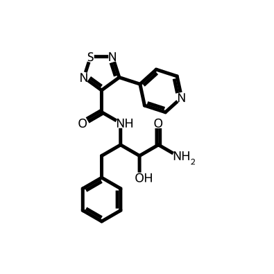 NC(=O)C(O)C(Cc1ccccc1)NC(=O)c1nsnc1-c1ccncc1